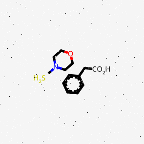 CN1CCOCC1.O=C(O)Cc1ccccc1.S